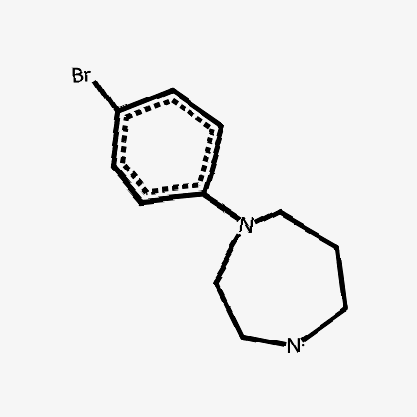 Brc1ccc(N2CCC[N]CC2)cc1